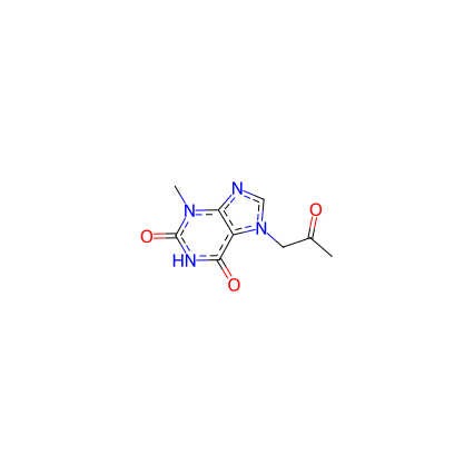 CC(=O)Cn1cnc2c1c(=O)[nH]c(=O)n2C